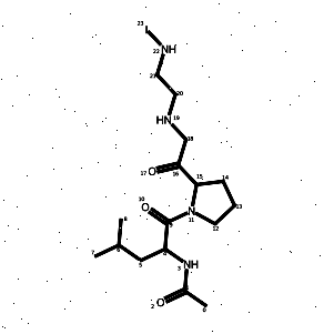 CC(=O)NC(CC(C)C)C(=O)N1CCCC1C(=O)CNCCNI